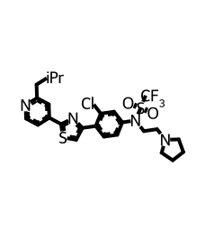 CC(C)Cc1cc(-c2nc(-c3ccc(N(CCN4CCCC4)S(=O)(=O)C(F)(F)F)cc3Cl)cs2)ccn1